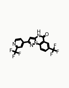 O=c1[nH]c2cc(-c3ccnc(C(F)(F)F)c3)nn2c2ccc(C(F)(F)F)cc12